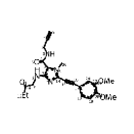 C#CCNC(=O)c1c(NCC(=O)CC)nc(C#Cc2ccc(OC)c(OC)c2)n1C